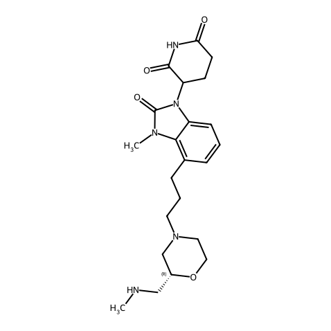 CNC[C@@H]1CN(CCCc2cccc3c2n(C)c(=O)n3C2CCC(=O)NC2=O)CCO1